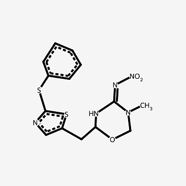 CN1COC(Cc2cnc(Sc3ccccc3)s2)NC1=N[N+](=O)[O-]